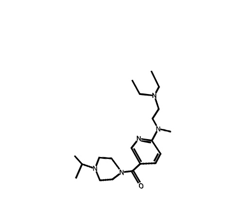 CCN(CC)CCN(C)c1ccc(C(=O)N2CCN(C(C)C)CC2)cn1